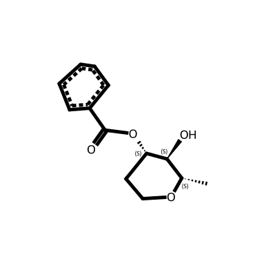 C[C@@H]1OCC[C@H](OC(=O)c2ccccc2)[C@H]1O